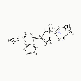 C/C=C\C(=C/C)C1(C(F)(F)F)CC(c2ccc(C(=O)O)c3ccccc23)=NO1